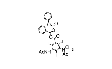 CC(=O)Nc1c(I)c(C(=O)OC(OC(=O)Oc2ccccc2)c2ccccc2)c(I)c(N(C)C(C)=O)c1I